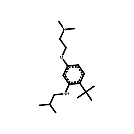 CC(C)CNc1cc(OCCN(C)C)ccc1C(C)(C)C